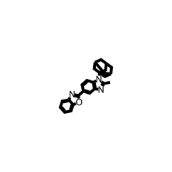 Cc1nc2cc(-c3nc4ccccc4o3)ccc2n1C12CC3CC(CC(C3)C1)C2